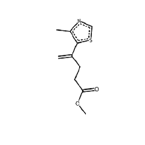 C=C(CCC(=O)OC)c1scnc1C